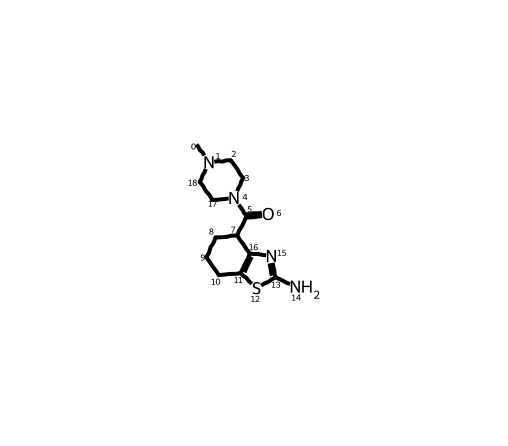 CN1CCN(C(=O)C2CCCc3sc(N)nc32)CC1